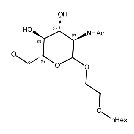 CCCCCCOCCOC1O[C@H](CO)[C@@H](O)[C@H](O)[C@H]1NC(C)=O